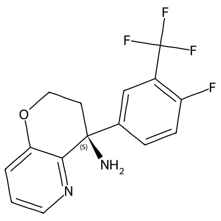 N[C@]1(c2ccc(F)c(C(F)(F)F)c2)CCOc2cccnc21